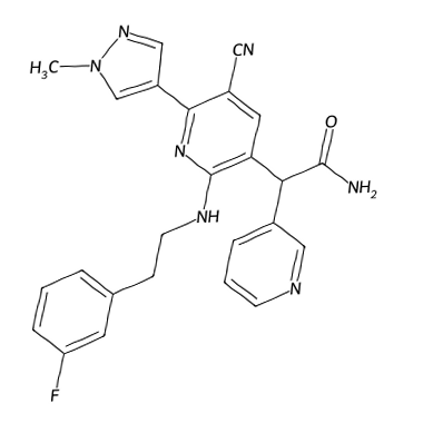 Cn1cc(-c2nc(NCCc3cccc(F)c3)c(C(C(N)=O)c3cccnc3)cc2C#N)cn1